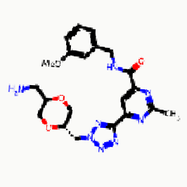 COc1cccc(CNC(=O)c2cc(-c3nnn(C[C@H]4COC(CN)CO4)n3)nc(C)n2)c1